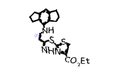 CCOC(=O)c1csc(SC(=N)/C=C\Nc2c3c(cc4c2CCC4)CCC3)n1